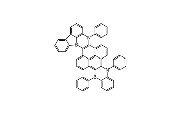 c1ccc(B2c3ccccc3N(c3ccccc3)c3c2c2cccc4c5c(c6cccc3c6c24)N(c2ccccc2)c2cccc3c2B5c2ccccc2-3)cc1